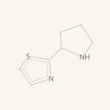 [c]1cnc(C2CCCN2)s1